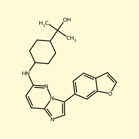 CC(C)(O)C1CCC(Nc2ccc3ncc(-c4ccc5ccoc5c4)n3n2)CC1